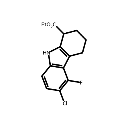 CCOC(=O)C1CCCc2c1[nH]c1ccc(Cl)c(F)c21